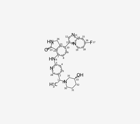 CC(c1ccc(Nc2ccc(-c3cnc4cc(F)ccn34)c3c2C(=O)NC3)nc1)N1CCC[C@H](O)C1